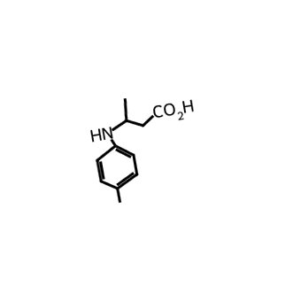 Cc1ccc(NC(C)CC(=O)O)cc1